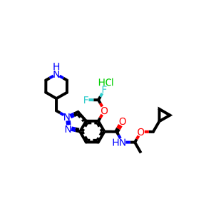 CC(NC(=O)c1ccc2nn(CC3CCNCC3)cc2c1OC(F)F)OCC1CC1.Cl